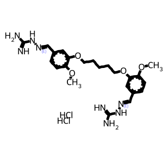 COc1ccc(/C=N/NC(=N)N)cc1OCCCCCOc1cc(/C=N/NC(=N)N)ccc1OC.Cl.Cl